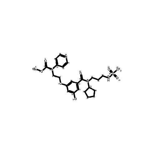 CC(C)(C)OC(=O)N(CCOc1cc(Cl)cc(C(=O)N(CCCNS(=O)(=O)C(F)(F)F)C2CCCC2)c1)c1ccncc1